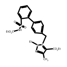 CCOC(=O)NS(=O)(=O)c1ccccc1-c1ccc(CS2=C(C(=O)OCC)C(C)=NN2CC)cc1